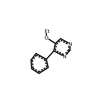 CCOc1cn[c]nc1-c1ccccc1